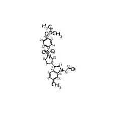 Cc1ccc2c(C3CCN(S(=O)(=O)c4ccc(OC(C)C)cc4)C3)cn(CC=O)c2c1